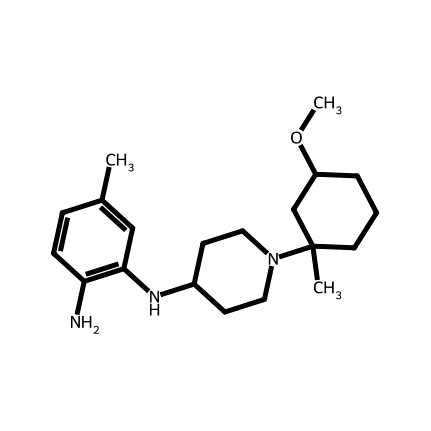 COC1CCCC(C)(N2CCC(Nc3cc(C)ccc3N)CC2)C1